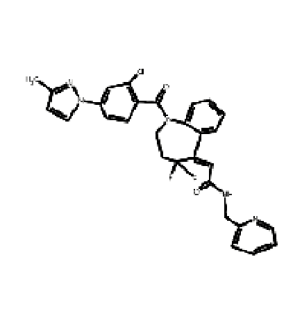 Cc1ccn(-c2ccc(C(=O)N3CCC(F)(F)C(=CC(=O)NCc4ccccn4)c4ccccc43)c(Cl)c2)n1